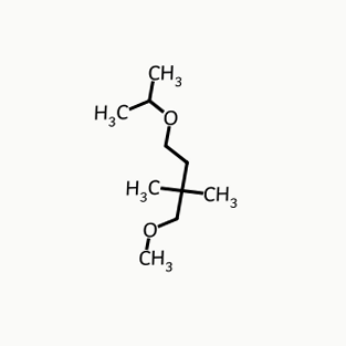 COCC(C)(C)CCOC(C)C